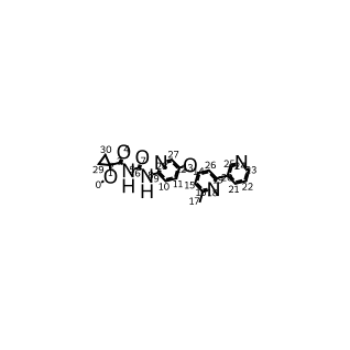 COC1(C(=O)NC(=O)Nc2ccc(Oc3cc(C)nc(-c4cccnc4)c3)cn2)CC1